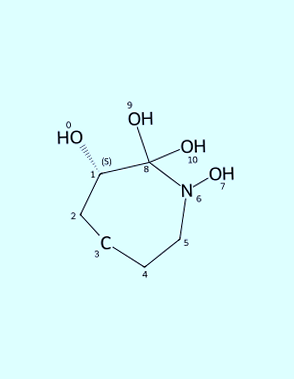 O[C@H]1CCCCN(O)C1(O)O